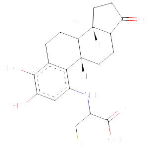 C[C@]12CC[C@@H]3c4c(NC(CS)C(=O)O)cc(O)c(O)c4CC[C@H]3[C@@H]1CCC2=O